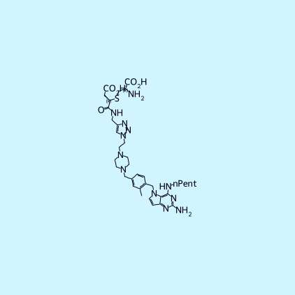 CCCCCNc1nc(N)nc2ccn(Cc3ccc(CN4CCN(CCn5cc(CNC(=O)[C@@H](CC(=O)O)SC[C@H](N)C(=O)O)nn5)CC4)cc3C)c12